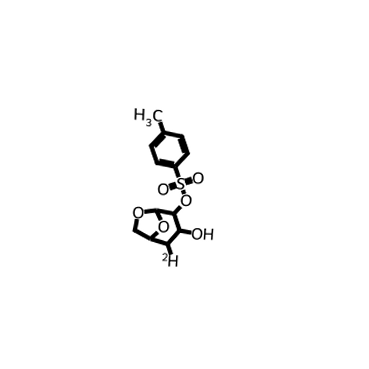 [2H]C1C2COC(O2)C(OS(=O)(=O)c2ccc(C)cc2)C1O